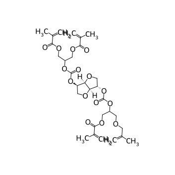 C=C(C)COCC(COC(=O)C(=C)C)OC(=O)O[C@H]1CO[C@H]2[C@@H]1OC[C@H]2OC(=O)OC(COC(=O)C(=C)C)COC(=O)C(=C)C